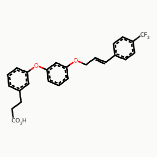 O=C(O)CCc1cccc(Oc2cccc(OC/C=C/c3ccc(C(F)(F)F)cc3)c2)c1